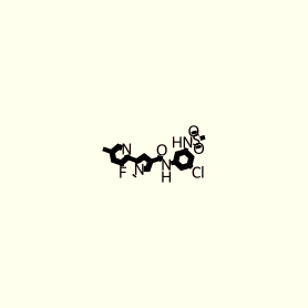 Cc1cnc(-c2cc(C(=O)Nc3cc(Cl)cc(NS(C)(=O)=O)c3)cn2C)c(F)c1